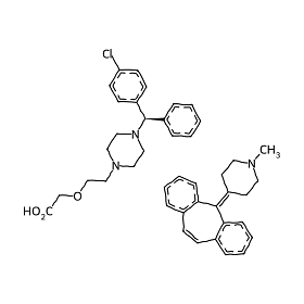 CN1CCC(=C2c3ccccc3C=Cc3ccccc32)CC1.O=C(O)COCCN1CCN([C@H](c2ccccc2)c2ccc(Cl)cc2)CC1